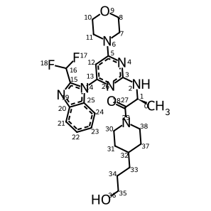 C[C@H](Nc1nc(N2CCOCC2)cc(-n2c(C(F)F)nc3ccccc32)n1)C(=O)N1CCC(CCCO)CC1